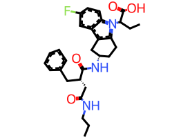 CCCNC(=O)C[C@H](Cc1ccccc1)C(=O)N[C@H]1CCc2c(c3cc(F)ccc3n2C(CC)C(=O)O)C1